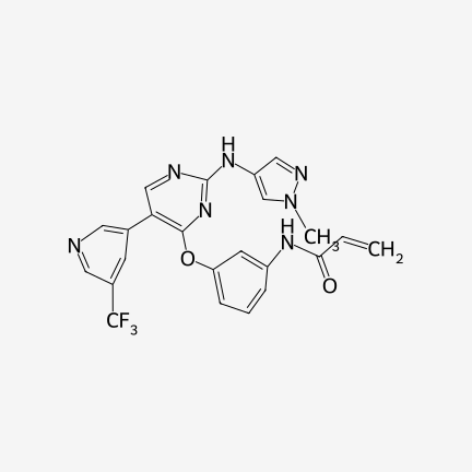 C=CC(=O)Nc1cccc(Oc2nc(Nc3cnn(C)c3)ncc2-c2cncc(C(F)(F)F)c2)c1